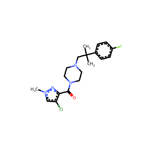 Cn1cc(Cl)c(C(=O)N2CCN(CC(C)(C)c3ccc(F)cc3)CC2)n1